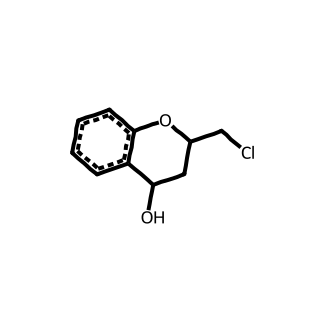 OC1CC(CCl)Oc2ccccc21